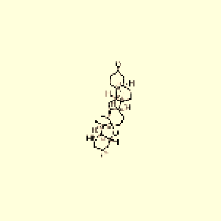 CC1=C2C[C@H]3[C@@H](CC[C@@H]4CC(=O)CC[C@@]43C)[C@@H]2CC[C@]12O[C@@H]1C[C@H](C)CN[C@H]1[C@H]2C